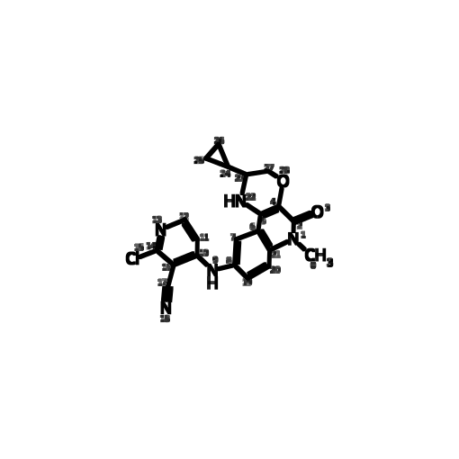 Cn1c(=O)c2c(c3cc(Nc4ccnc(Cl)c4C#N)ccc31)NC(C1CC1)CO2